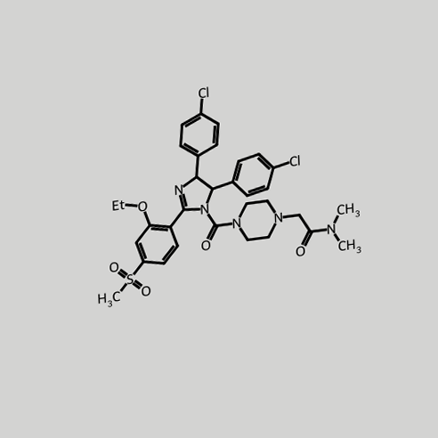 CCOc1cc(S(C)(=O)=O)ccc1C1=NC(c2ccc(Cl)cc2)C(c2ccc(Cl)cc2)N1C(=O)N1CCN(CC(=O)N(C)C)CC1